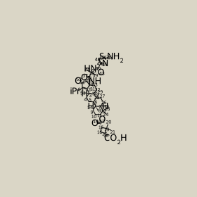 CC(C)C1=C2[C@H]3CC[C@@H]4[C@@]5(C)CC[C@H](OC(=O)[C@H]6C[C@@H](C(=O)O)C6(C)C)C(C)(C)[C@@H]5CC[C@@]4(C)[C@]3(C)CC[C@@]2(NC(=O)C(C)(C)NC(=O)c2csc(N)n2)CC1=O